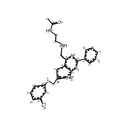 CC(=O)NCCNCc1nc(-c2ccccc2)nc2[nH]c(COc3cccc(Cl)c3)cc12